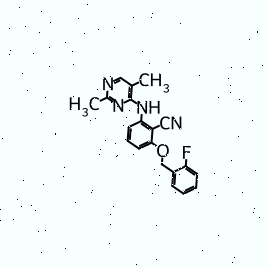 Cc1ncc(C)c(Nc2cccc(OCc3ccccc3F)c2C#N)n1